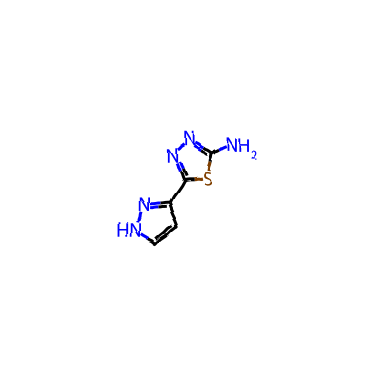 Nc1nnc(-c2cc[nH]n2)s1